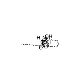 CCCCC/C=C\C/C=C\C/C=C\CCCCCCC(=O)O[C@H](COC(=O)CCCCCCCCCCCCCCCC)COP(=O)(O)OC[C@H](N)C(=O)O